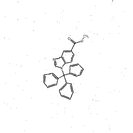 COC(=O)c1ccc2c(c1)ncn2C(c1ccccc1)(c1ccccc1)c1ccccc1